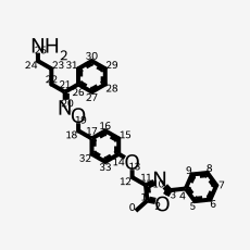 Cc1oc(-c2ccccc2)nc1COc1ccc(CON=C(CCCN)c2ccccc2)cc1